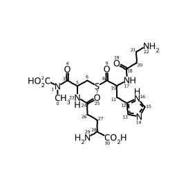 CN(C(=O)O)C(=O)C(CSC(=O)C(Cc1cnc[nH]1)NC(=O)CCN)NC(=O)CCC(N)C(=O)O